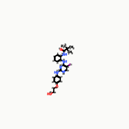 CC(C)(C)C(=O)Nc1ccccc1Nc1nc(Nc2ccc(OCCO)cc2)ncc1I